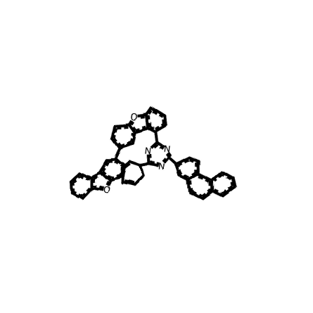 C1=CCC(c2nc(-c3ccc4c(ccc5ccccc54)c3)nc(-c3cccc4oc5ccc(-c6ccc7oc8ccccc8c7c6)cc5c34)n2)C=C1